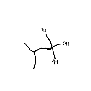 [2H]C([2H])(O)C(C)C